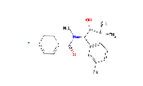 CN(C(=O)c1ccc(F)cc1)[C@@H]1c2cc(C#N)ccc2C(C)(C)[C@H]1O